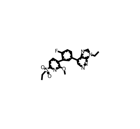 CCn1cnc2c(-c3ccc(F)c(-c4ccc(S(=O)(=O)CC)nc4OC)c3)cnnc21